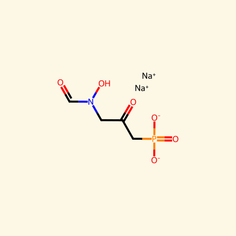 O=CN(O)CC(=O)CP(=O)([O-])[O-].[Na+].[Na+]